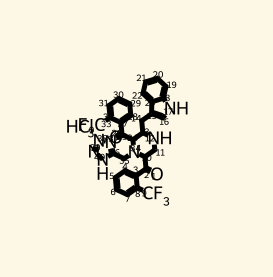 Cl.O=C(c1ccccc1C(F)(F)F)C1CNC(Cc2c[nH]c3ccccc23)C(C(=O)c2ccccc2C(F)(F)F)N1Cc1nnn[nH]1